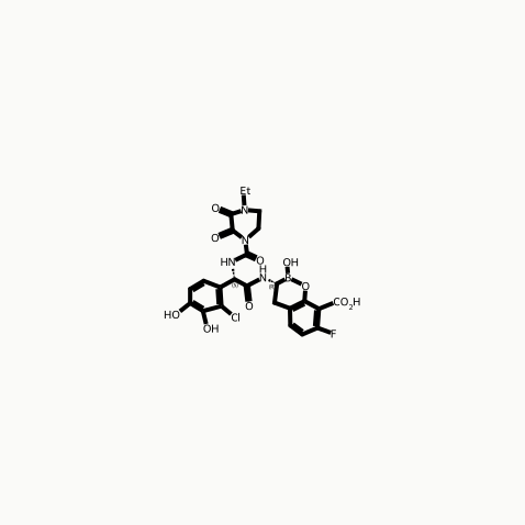 CCN1CCN(C(=O)N[C@H](C(=O)N[C@H]2Cc3ccc(F)c(C(=O)O)c3OB2O)c2ccc(O)c(O)c2Cl)C(=O)C1=O